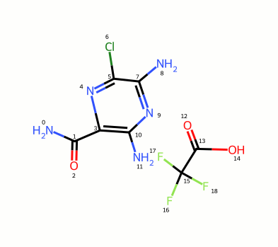 NC(=O)c1nc(Cl)c(N)nc1N.O=C(O)C(F)(F)F